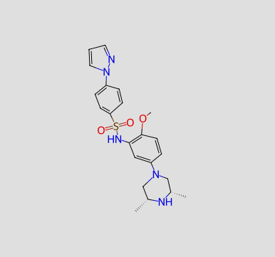 COc1ccc(N2C[C@@H](C)N[C@@H](C)C2)cc1NS(=O)(=O)c1ccc(-n2cccn2)cc1